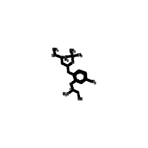 CPNCC(Cc1ccc(P)cc1O[C@H](C)CO)O[PH](C)(C)C